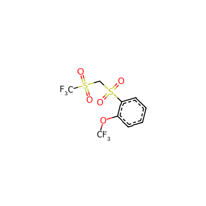 O=S(=O)(CS(=O)(=O)C(F)(F)F)c1ccccc1OC(F)(F)F